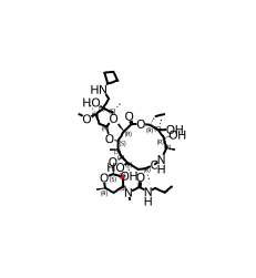 CCCNC(=O)N(C)[C@H]1C[C@@H](C)O[C@@H](O[C@@H]2[C@@H](C)[C@H](O[C@H]3C[C@@](C)(OC)[C@](O)(CNC4CCC4)[C@H](C)O3)[C@@H](C)C(=O)O[C@H](CC)[C@@](C)(O)[C@H](O)[C@@H](C)NC[C@H](C)C[C@@]2(C)O)[C@@H]1O